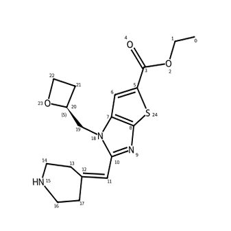 CCOC(=O)c1cc2c(nc(C=C3CCNCC3)n2C[C@@H]2CCO2)s1